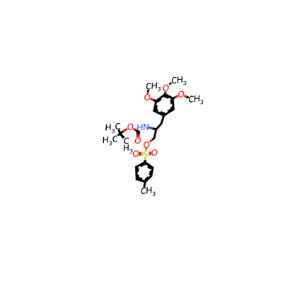 COc1cc(CC(COS(=O)(=O)c2ccc(C)cc2)NC(=O)OC(C)(C)C)cc(OC)c1OC